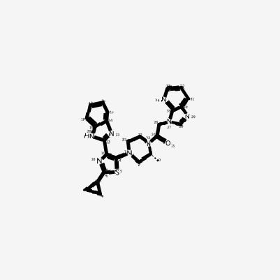 C[C@@H]1CN(c2sc(C3CC3)nc2-c2nc3ccccc3[nH]2)CCN1C(=O)Cn1cnc2cccnc21